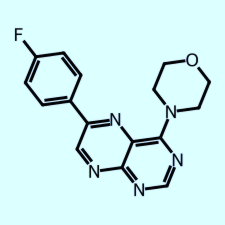 Fc1ccc(-c2cnc3ncnc(N4CCOCC4)c3n2)cc1